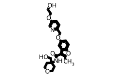 Cc1oc2ccc(OCc3ccc(OCCO)cn3)cc2c1C(=O)NC1(CO)CCOCC1